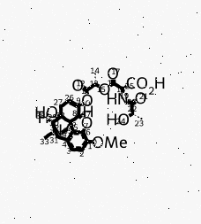 COc1ccc2c3c1O[C@H]1C(OC(=O)[C@H](C)OC(=O)[C@H](NC(=O)[C@H](C)O)C(=O)O)=CC[C@@]4(O)[C@@H](C2)N(C)CC[C@]314